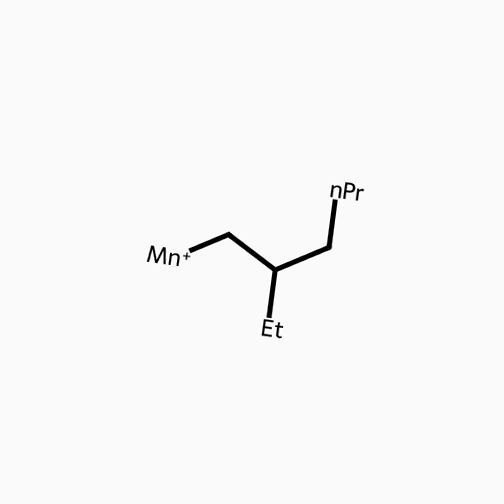 CCCCC(CC)[CH2][Mn+]